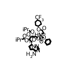 CC(C)C(=O)O[C@H]1[C@H](c2ccc3c(N)ncnn23)O[C@](C)(COP(=O)(N[C@@H](C)C(=O)O[C@H]2CC[C@H](C(F)(F)F)CC2)Oc2ccccc2)[C@H]1OC(=O)C(C)C